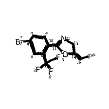 FC(F)(F)c1cc(Br)ccc1C1=NC/C(=C\I)O1